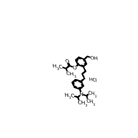 CC(C)C(=O)Oc1ccc(CO)cc1CCCc1cccc(N(C(C)C)C(C)C)c1.Cl